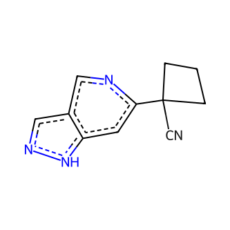 N#CC1(c2cc3[nH]ncc3cn2)CCC1